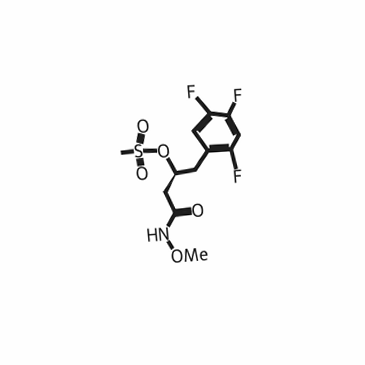 CONC(=O)C[C@H](Cc1cc(F)c(F)cc1F)OS(C)(=O)=O